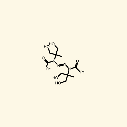 C[C](C)C(=O)N(N=NN(C(=O)[C](C)C)C(C)(CO)CO)C(C)(CO)CO